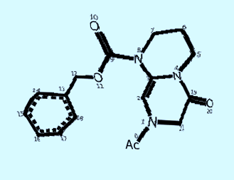 CC(=O)N1C=C2N(CCCN2C(=O)OCc2ccccc2)C(=O)C1